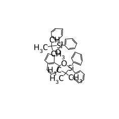 CC(C)(C)[Si](O[C]1C=Cc2cccc(O[Si](c3ccccc3)(c3ccccc3)C(C)(C)C)c21)(c1ccccc1)c1ccccc1